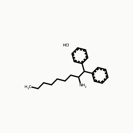 CCCCCCCC(N)C(c1ccccc1)c1ccccc1.Cl